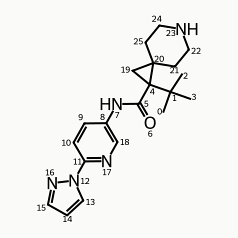 CC(C)(C)C1(C(=O)Nc2ccc(-n3cccn3)nc2)CC12CCNCC2